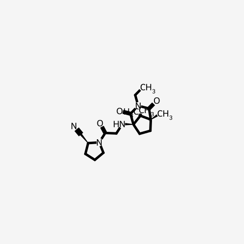 CCN1C(=O)[C@]2(C)CC[C@](NCC(=O)N3CCC[C@H]3C#N)(C1=O)C2(C)C